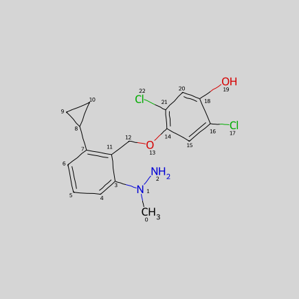 CN(N)c1cccc(C2CC2)c1COc1cc(Cl)c(O)cc1Cl